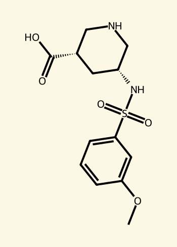 COc1cccc(S(=O)(=O)N[C@H]2CNC[C@@H](C(=O)O)C2)c1